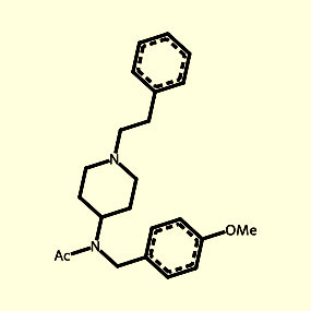 COc1ccc(CN(C(C)=O)C2CCN(CCc3ccccc3)CC2)cc1